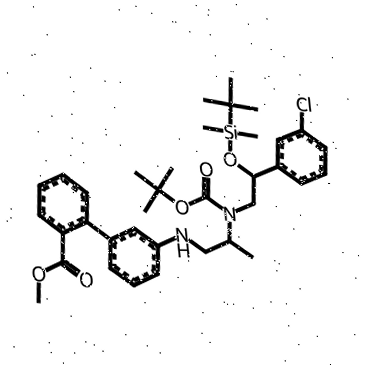 COC(=O)c1ccccc1-c1cccc(NCC(C)N(CC(O[Si](C)(C)C(C)(C)C)c2cccc(Cl)c2)C(=O)OC(C)(C)C)c1